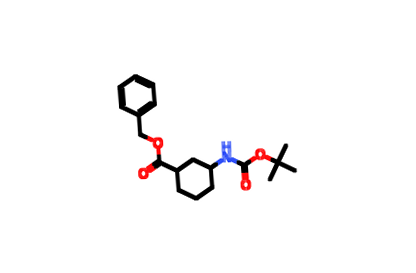 CC(C)(C)OC(=O)NC1CCCC(C(=O)OCc2ccccc2)C1